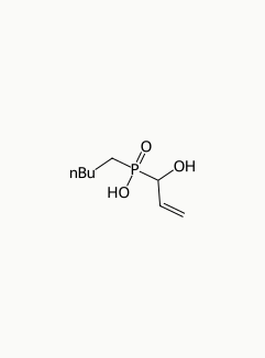 C=CC(O)P(=O)(O)CCCCC